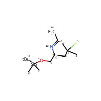 CC(C)(F)C[C@@H](CO[Si](C)(C)C(C)(C)C)N=CC(F)(F)F